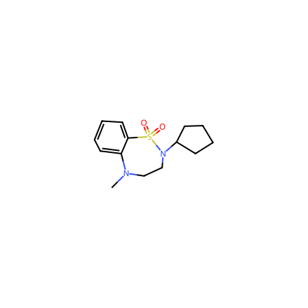 CN1CCN(C2CCCC2)S(=O)(=O)c2ccccc21